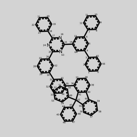 c1ccc(-c2cc(-c3ccccc3)cc(-c3nc(-c4ccccc4)nc(-c4cccc(-c5cccc(-c6cccc7c6C(c6ccccc6)(c6ccccc6)c6ccccc6-7)c5)c4)n3)c2)cc1